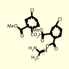 COC(=O)c1cc(Cl)ccc1C(=O)O.COC(=O)c1cc(Cl)ccc1C(=O)O/N=C(/C)N